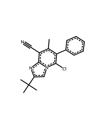 Cc1c(-c2ccccc2)c(Cl)n2cc(C(C)(C)C)nc2c1C#N